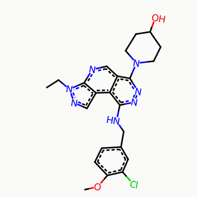 CCn1ncc2c3c(NCc4ccc(OC)c(Cl)c4)nnc(N4CCC(O)CC4)c3cnc21